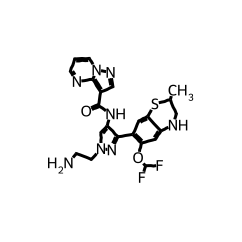 CC1CNc2cc(OC(F)F)c(-c3nn(CCN)cc3NC(=O)c3cnn4cccnc34)cc2S1